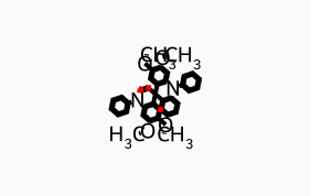 COc1cc2c(cc1OC)C1(c3ccccc3N2c2ccccc2)c2ccccc2N(c2ccccc2)c2cc(OC)c(OC)cc21